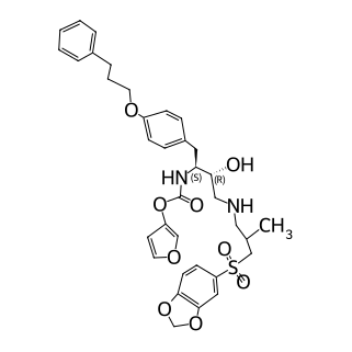 CC(CNC[C@@H](O)[C@H](Cc1ccc(OCCCc2ccccc2)cc1)NC(=O)Oc1ccoc1)CS(=O)(=O)c1ccc2c(c1)OCO2